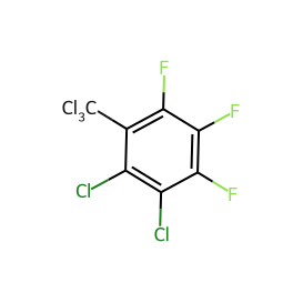 Fc1c(F)c(Cl)c(Cl)c(C(Cl)(Cl)Cl)c1F